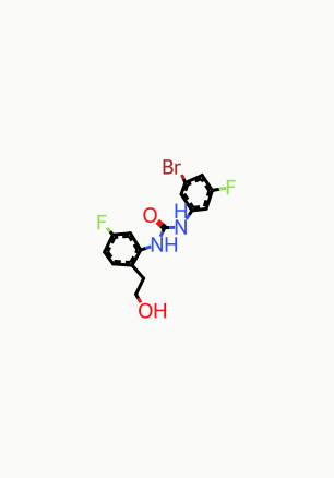 O=C(Nc1cc(F)cc(Br)c1)Nc1cc(F)ccc1CCO